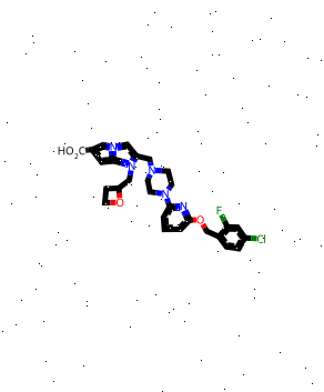 O=C(O)c1cc2n(CC3CCO3)c(CN3CCN(c4cccc(OCc5ccc(Cl)cc5F)n4)CC3)cn2c1